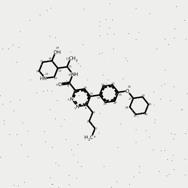 CCCCc1nnc(C(=O)NC(C)C2CNCCC2O)cc1-c1ccc(OC2CCCCC2)cc1